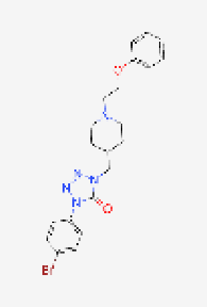 O=c1n(CC2CCN(CCOc3ccccc3)CC2)nnn1-c1ccc(Br)cc1